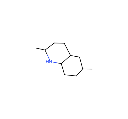 CC1CCC2NC(C)CCC2C1